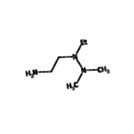 CCN(CCN)N(C)C